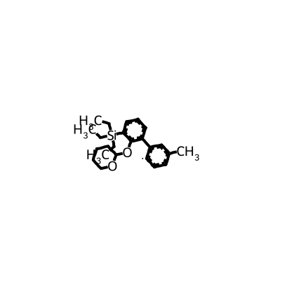 CC[Si](CC)(CC)c1cccc(-c2[c]ccc(C)c2)c1OC1CCCCO1